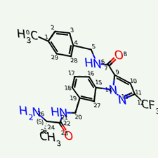 Cc1ccc(CNC(=O)c2cc(C(F)(F)F)nn2-c2cccc(CNC(=O)[C@H](C)N)c2)cc1